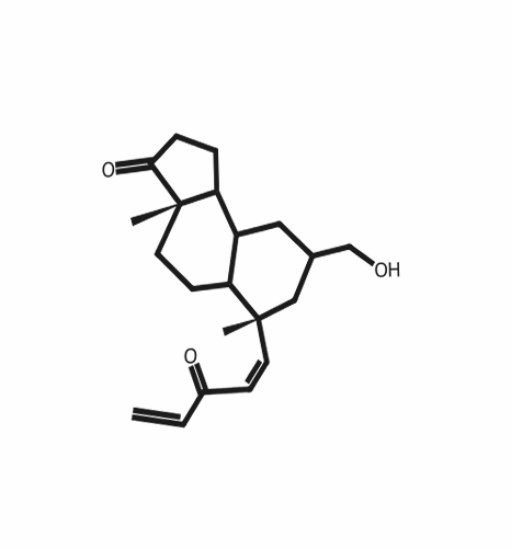 C=CC(=O)/C=C\[C@@]1(C)CC(CO)CC2C1CC[C@]1(C)C(=O)CCC21